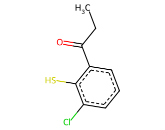 CCC(=O)c1cccc(Cl)c1S